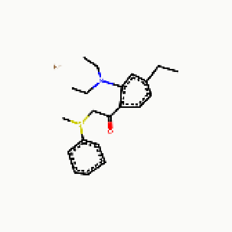 CCc1ccc(C(=O)C[S+](C)c2ccccc2)c(N(CC)CC)c1.[Br-]